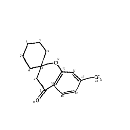 O=C1CC2(CCCCC2)Oc2cc(C(F)(F)F)ccc21